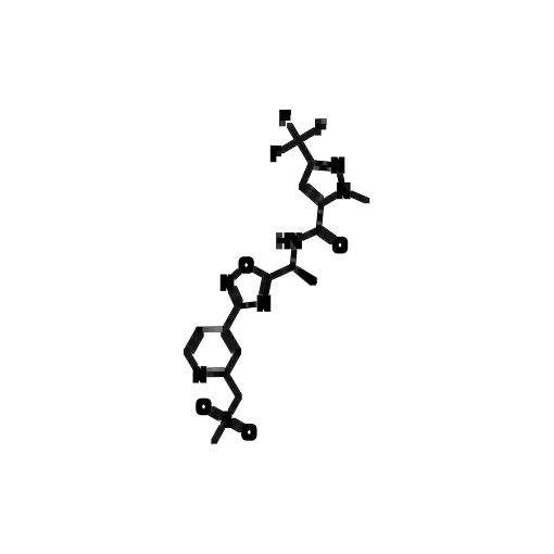 C[C@H](NC(=O)c1cc(C(F)(F)F)nn1C)c1nc(-c2ccnc(CS(C)(=O)=O)c2)no1